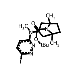 CN(c1ccc(I)nn1)C1CC2(C)CCC(C)(C1)N2C(=O)OC(C)(C)C